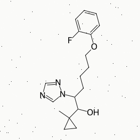 CC1(C(O)C(CCCCOc2ccccc2F)n2cncn2)CC1